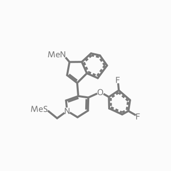 CNC1C=C(C2=CN(CSC)CC=C2Oc2ccc(F)cc2F)c2ccccc21